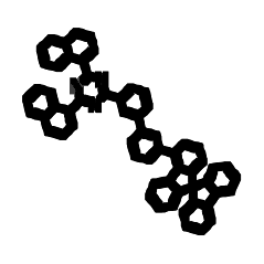 c1cc(-c2cccc(-c3cccc4c3-c3ccccc3C43c4ccccc4-c4ccccc43)c2)cc(-c2nc(-c3cccc4ccccc34)nc(-c3cccc4ccccc34)n2)c1